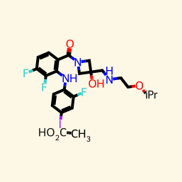 CC(=O)O.CC(C)OCCNCC1(O)CN(C(=O)c2ccc(F)c(F)c2Nc2ccc(I)cc2F)C1